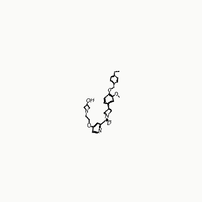 CCc1ccc(COc2ccc(C3CN(C(=O)c4cc(OCCN5CC(O)C5)ccn4)C3)cc2OC)cc1